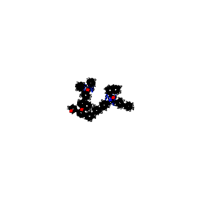 c1c(-c2ccccc2)c2c(c(-c3cccc(-c4ccc(-c5ccc(-c6nc(-c7ccc(-c8ccccc8)cc7)nc(-c7cccc8ccccc78)n6)cc5)cc4)c3)c#1)-c1cccc3c(-c4ccc(-c5nc6ccccc6n5-c5ccccc5)cc4)ccc-2c13